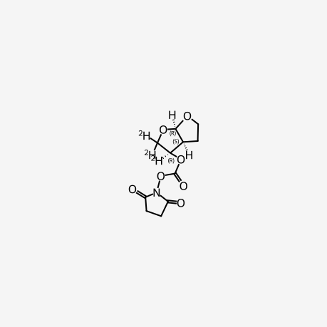 [2H]C1([2H])O[C@H]2OCC[C@H]2[C@@]1([2H])OC(=O)ON1C(=O)CCC1=O